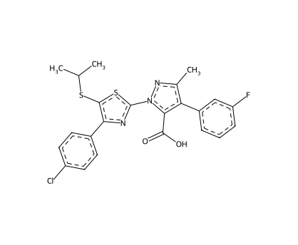 Cc1nn(-c2nc(-c3ccc(Cl)cc3)c(SC(C)C)s2)c(C(=O)O)c1-c1cccc(F)c1